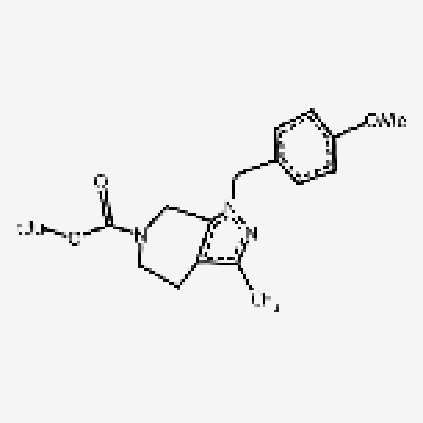 COc1ccc(Cn2nc(C(F)(F)F)c3c2CN(C(=O)OC(C)(C)C)CC3)cc1